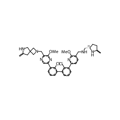 C=C1CC2(CN1)CN(Cc1ncc(-c3cccc(-c4cccc(-c5ccc(CNC[C@@H]6CCC(=C)N6)c(OC)n5)c4Cl)c3Cl)nc1OC)C2